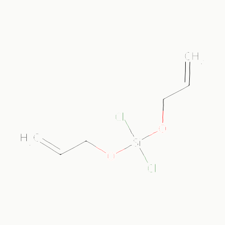 C=CCO[Si](Cl)(Cl)OCC=C